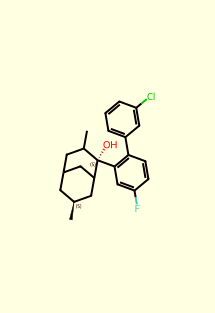 CC1CC2CC(C[C@@H](C)C2)[C@]1(O)c1cc(F)ccc1-c1cccc(Cl)c1